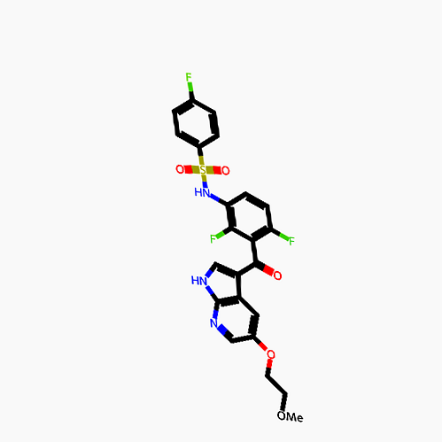 COCCOc1cnc2[nH]cc(C(=O)c3c(F)ccc(NS(=O)(=O)c4ccc(F)cc4)c3F)c2c1